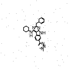 C=C(/N=N\N(C)C)c1ccc2c(c1)[nH]c1nc(CC3C=CC=CC3)nc(NC3CCCCC3)c12